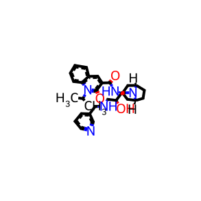 CC(C)n1c(=O)c(C(=O)N[C@@H]2C[C@H]3CC[C@@H](C2)N3CC(O)CNCc2cccnc2)cc2ccccc21